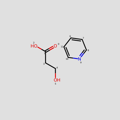 O=C(O)CCO.c1ccncc1